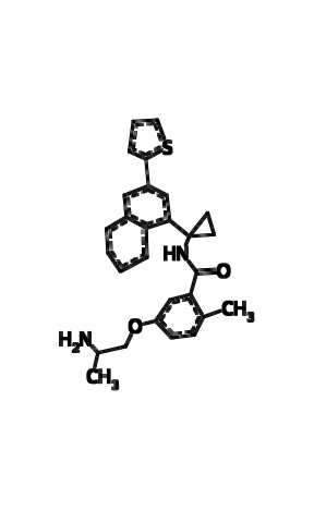 Cc1ccc(OCC(C)N)cc1C(=O)NC1(c2cc(-c3cccs3)cc3ccccc23)CC1